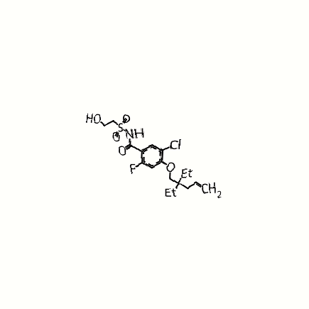 C=CCC(CC)(CC)COc1cc(F)c(C(=O)NS(=O)(=O)CCO)cc1Cl